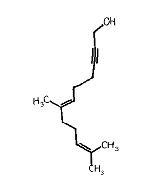 CC(C)=CCCC(C)=CCCC#CCO